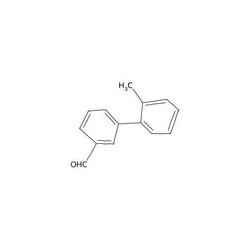 Cc1ccccc1-c1cccc(C=O)c1